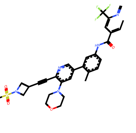 C=N/C(=C\C(=C/C)C(=O)Nc1ccc(C)c(-c2cnc(C#CC3CN(S(C)(=O)=O)C3)c(N3CCOCC3)c2)c1)C(F)(F)F